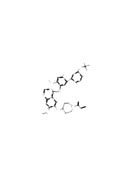 C=CC(=O)N1CCC(Oc2cc3c(Nc4cc(-c5cccc(OC(F)(F)F)c5)ccc4OC)ncnc3cc2OC)CC1